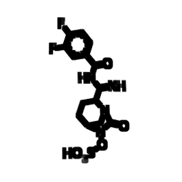 N=C(NC(=O)c1ccc(F)c(F)c1)C1CCC2CN1C(=O)N2OS(=O)(=O)O